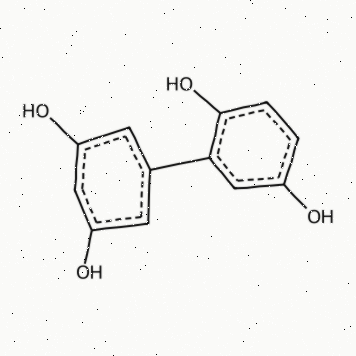 Oc1cc(O)cc(-c2cc(O)ccc2O)c1